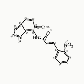 O=C(C=Cc1ccccc1[N+](=O)[O-])NC1=C2N=NN=C2C=CC1=O